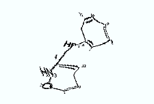 C1=CONC(Pc2ccccc2)=C1